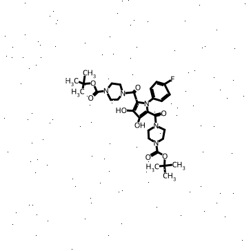 CC(C)(C)OC(=O)N1CCN(C(=O)c2c(O)c(O)c(C(=O)N3CCN(C(=O)OC(C)(C)C)CC3)n2-c2ccc(F)cc2)CC1